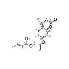 CC=CC(=O)OCC(C)Oc1ccc2c(C)cc(=O)oc2c1